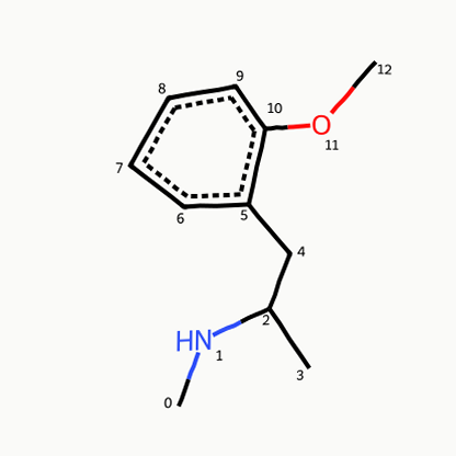 CNC(C)Cc1ccccc1OC